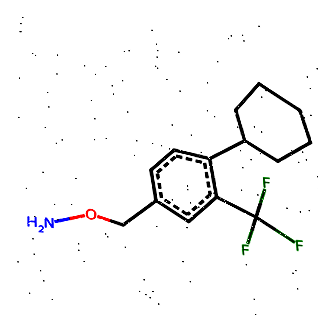 NOCc1ccc(C2CCCCC2)c(C(F)(F)F)c1